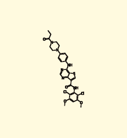 CCC(=O)N1CCN(c2ccc(Nc3ncnc4c(C(=O)Nc5c(Cl)c(OC)cc(OC)c5Cl)csc34)cc2)CC1